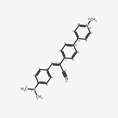 CN(C)c1ccc(/C=C(\C#N)c2ccc(-c3cc[n+](C)cc3)cc2)cc1